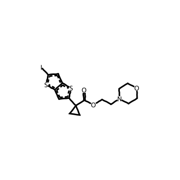 O=C(OCCN1CCOCC1)C1(c2cc3sc(I)cc3s2)CC1